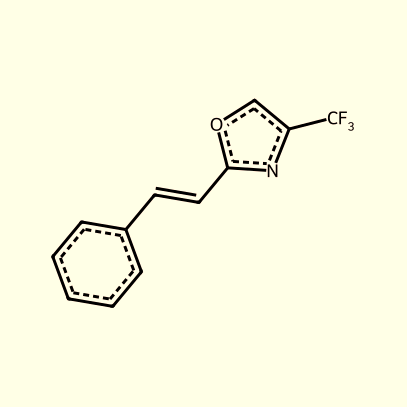 FC(F)(F)c1coc(C=Cc2ccccc2)n1